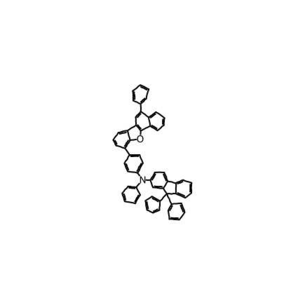 c1ccc(-c2cc3c4cccc(-c5ccc(N(c6ccccc6)c6ccc7c(c6)C(c6ccccc6)(c6ccccc6)c6ccccc6-7)cc5)c4oc3c3ccccc23)cc1